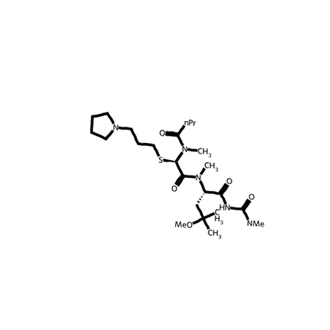 CCCC(=O)N(C)[C@H](SCCCN1CCCC1)C(=O)N(C)[C@@H](CC(C)(C)OC)C(=O)NC(=O)NC